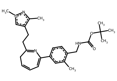 Cc1cc(C2=CC=CCC(CCc3cn(C)nc3C)=N2)ccc1CNC(=O)OC(C)(C)C